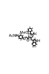 COc1ccccc1CN(CC(Cc1c[nH]c2ccccc12)NC(=O)COc1ccc(NC(C)=O)cc1)C(C)=O